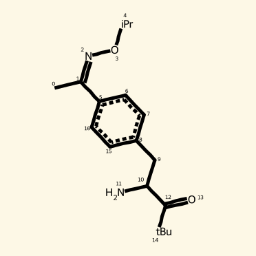 C/C(=N/OC(C)C)c1ccc(CC(N)C(=O)C(C)(C)C)cc1